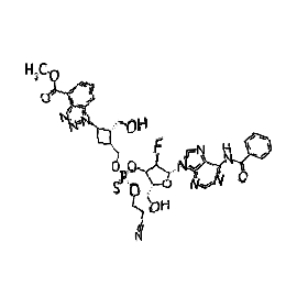 COC(=O)c1cccc2c1nnn2[C@@H]1C[C@H](COP(=S)(OCCC#N)O[C@H]2[C@@H](F)[C@H](n3cnc4c(NC(=O)c5ccccc5)ncnc43)O[C@@H]2CO)[C@H]1CO